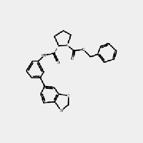 O=C(Nc1cccc(-c2ccc3c(c2)OCO3)c1)[C@@H]1CCCN1C(=O)OCc1ccccc1